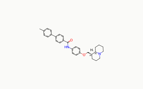 Cc1ccc(-c2ccc(C(=O)Nc3ccc(OC[C@@H]4CCCN5CCCC[C@H]45)cc3)cc2)cc1